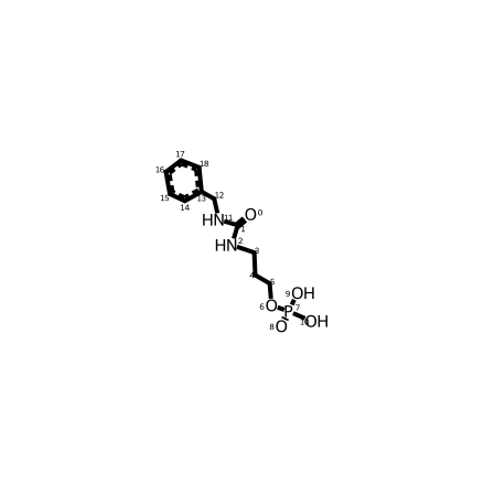 O=C(NCCCOP(=O)(O)O)NCc1ccccc1